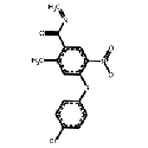 C=NC(=O)c1cc([N+](=O)[O-])c(Sc2ccc(Br)cc2)cc1C